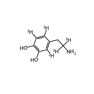 [2H]c1c([2H])c(CC([2H])([2H])N)c([2H])c(O)c1O